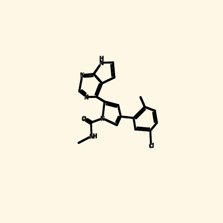 CNC(=O)n1cc(-c2cc(Cl)ccc2C)cc1-c1ncnc2[nH]ccc12